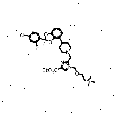 CCOC(=O)c1cn(COCC[Si](C)(C)C)c(CN2CCC(c3cccc4c3O[C@@](C)(c3ccc(Cl)cc3F)O4)CC2)n1